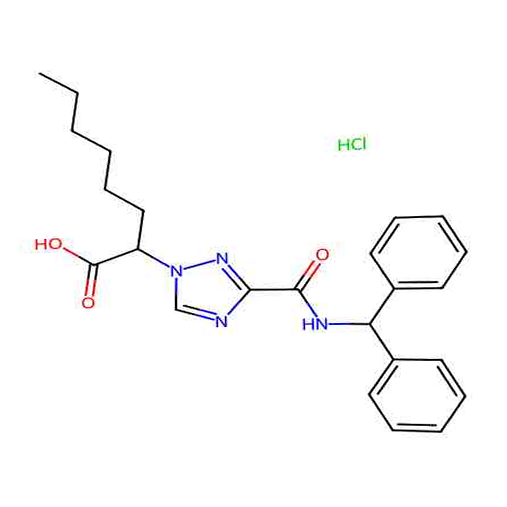 CCCCCCC(C(=O)O)n1cnc(C(=O)NC(c2ccccc2)c2ccccc2)n1.Cl